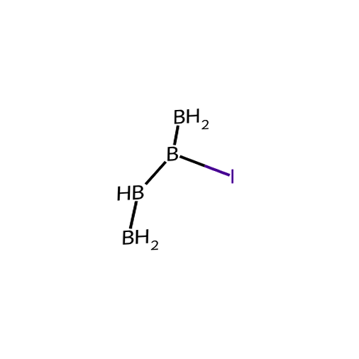 BBB(B)I